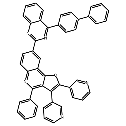 c1ccc(-c2ccc(-c3nc(-c4ccc5nc(-c6ccccc6)c6c(-c7cccnc7)c(-c7cccnc7)oc6c5c4)nc4ccccc34)cc2)cc1